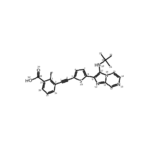 Cc1c(C#Cc2ccc(-c3nc4cnccn4c3NC(C)(C)C)s2)cccc1C(=O)O